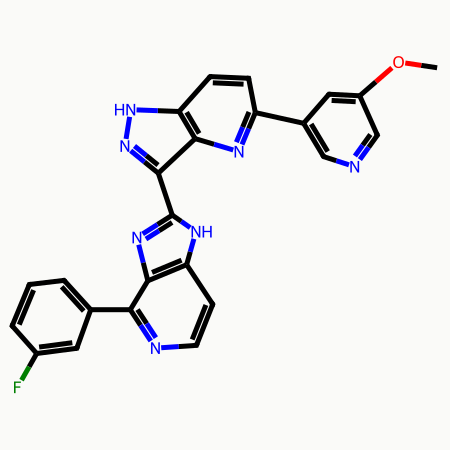 COc1cncc(-c2ccc3[nH]nc(-c4nc5c(-c6cccc(F)c6)nccc5[nH]4)c3n2)c1